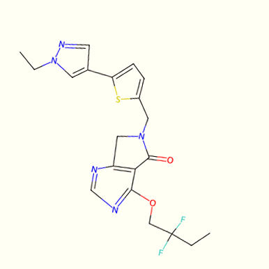 CCn1cc(-c2ccc(CN3Cc4ncnc(OCC(F)(F)CC)c4C3=O)s2)cn1